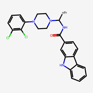 CCCC(NC(=O)c1ccc2c(c1)[nH]c1ccccc12)N1CCN(c2cccc(Cl)c2Cl)CC1